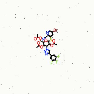 CC(=O)OC[C@H]1O[C@H](Sc2cc(Br)cnc2C#N)[C@H](OC(C)=O)[C@@H](n2cc(-c3cc(F)c(F)c(F)c3)nn2)[C@H]1OC(C)=O